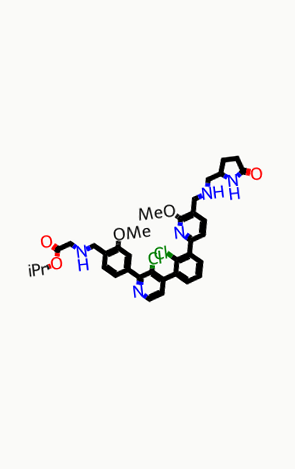 COc1cc(-c2nccc(-c3cccc(-c4ccc(CNCC5CCC(=O)N5)c(OC)n4)c3Cl)c2Cl)ccc1CNCC(=O)OC(C)C